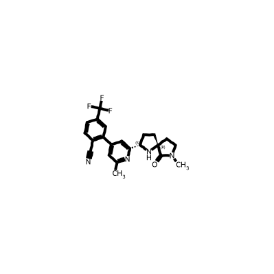 Cc1cc(-c2cc(C(F)(F)F)ccc2C#N)cc([C@@H]2CC[C@]3(CCN(C)C3=O)N2)n1